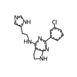 Clc1cccc(-c2nc(NCCc3cnc[nH]3)c3c(n2)NCC3)c1